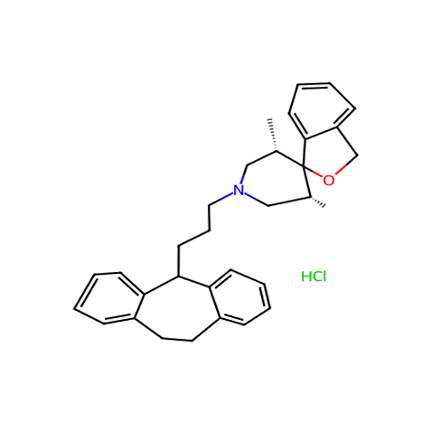 C[C@@H]1CN(CCCC2c3ccccc3CCc3ccccc32)C[C@H](C)C12OCc1ccccc12.Cl